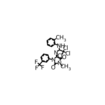 Cc1ccccc1NC(N=C1C(=O)N(C)C(=O)N1c1cccc(C(F)(F)F)c1)C(Cl)(Cl)Cl